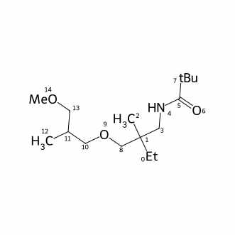 CCC(C)(CNC(=O)C(C)(C)C)COCC(C)COC